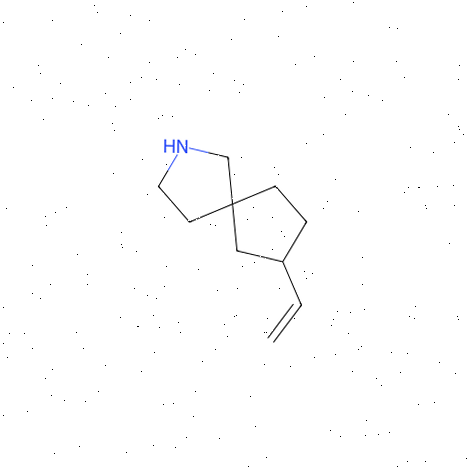 C=CC1CCC2(CCNC2)C1